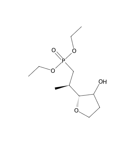 CCOP(=O)(C[C@H](C)[C@H]1OCCC1O)OCC